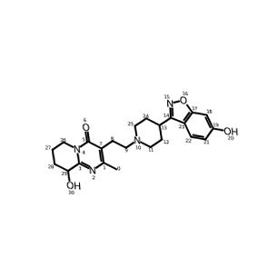 Cc1nc2n(c(=O)c1CCN1CCC(c3noc4cc(O)ccc34)CC1)CCCC2O